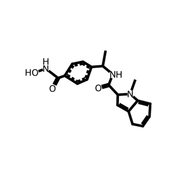 CC(NC(=O)C1C=C2CC=CC=C2N1C)c1ccc(C(=O)NO)cc1